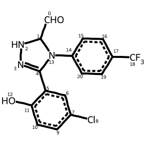 O=CC1NN=C(c2cc(Cl)ccc2O)N1c1ccc(C(F)(F)F)cc1